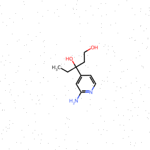 CCC(O)(CCO)c1ccnc(N)c1